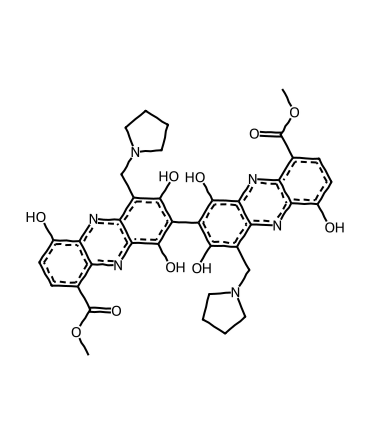 COC(=O)c1ccc(O)c2nc3c(CN4CCCC4)c(O)c(-c4c(O)c(CN5CCCC5)c5nc6c(O)ccc(C(=O)OC)c6nc5c4O)c(O)c3nc12